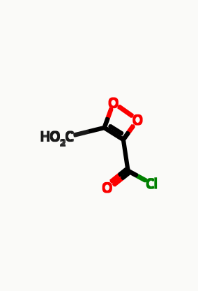 O=C(O)c1ooc1C(=O)Cl